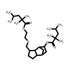 CC(C)CC(C)(C)C(=O)OCCOCC1CCC2C3CC(OC(=O)C(C)(C)CC(C)C)C(C3)C12